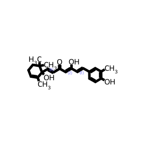 CC1=CCCC(C)(C)C1(O)/C=C/C(=O)/C=C(O)/C=C/c1ccc(O)c(C)c1